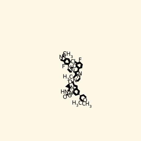 C[C@@H]1c2c(-n3ccn(-c4ccc5c(cnn5C)c4F)c3=O)c(-c3ccc(F)c(Cl)c3)nn2CCN1C(=O)c1cc2cc([C@@H]3CCOC(C)(C)C3)ccc2n1C1(c2noc(=O)[nH]2)CC1